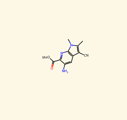 COC(=O)c1nc2c(cc1N)c(C#N)c(C)n2C